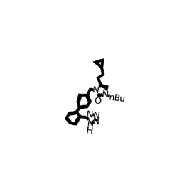 CCCCn1cc(CCC2CC2)n(Cc2ccc(-c3ccccc3-c3nnn[nH]3)cc2)c1=O